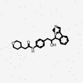 O=C(CC1CCOCC1)Nc1ccc(CC(O)C2c3ccccc3-c3cncn32)cc1